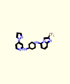 FC(F)(F)c1cn2c(NC3CCC(Nc4cc(-n5cccn5)ccn4)CC3)cccc2n1